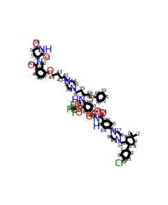 CC1(C)CCC(c2ccc(Cl)cc2)=C(CN2CCN(c3ccc(C(=O)NS(=O)(=O)c4ccc(NC(CCN5CCN(CCCCOc6cccc7c6CN(C6CCC(=O)NC6=O)C7=O)CC5)CSc5ccccc5)c(S(=O)(=O)C(F)(F)F)c4)cc3)CC2)C1